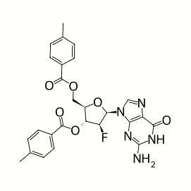 Cc1ccc(C(=O)OC[C@H]2O[C@@H](n3cnc4c(=O)[nH]c(N)nc43)[C@@H](F)[C@@H]2OC(=O)c2ccc(C)cc2)cc1